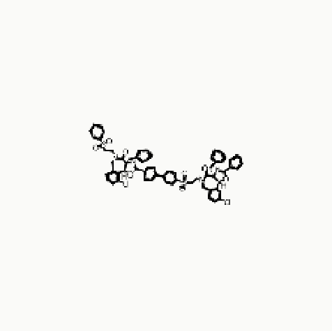 O=C1N(CCS(=O)(=O)c2ccc(-c3ccc(C4=N[C@]5(Cc6ccccc6)C(=O)N(CCS(=O)(=O)c6ccccc6)Cc6cccc(Cl)c6[C@@H]5O4)cc3)cc2)Cc2ccc(Cl)cc2[C@@H]2OC(c3ccccc3)=N[C@]12Cc1ccccc1